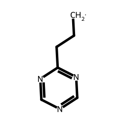 [CH2]CCc1ncncn1